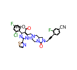 COC(=O)C1=C(CN2CCN3C(=O)N(CC#Cc4ccc(C#N)cc4F)CC3C2)NC(c2nccs2)=NC1c1ccc(F)cc1Cl